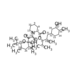 CC(C)C(OC(=O)C1CCCCN1C(=O)C(=O)C1(O)OC(C(C)C)C(C)CC1C)C(C)CC1CCC(C)C(O)C1